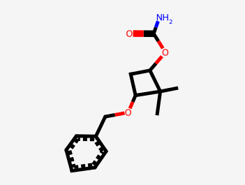 CC1(C)C(OCc2ccccc2)CC1OC(N)=O